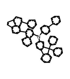 C1=Cc2ccc(-c3ccc(N(c4ccc(-c5ccccc5)cc4)c4ccc5c(c4)C(c4ccccc4)(c4ccccc4)c4ccccc4-5)c4ccccc34)c3c(-c4ccccc4)ccc1c23